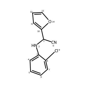 N#CC(Nc1ccccc1Cl)c1ccco1